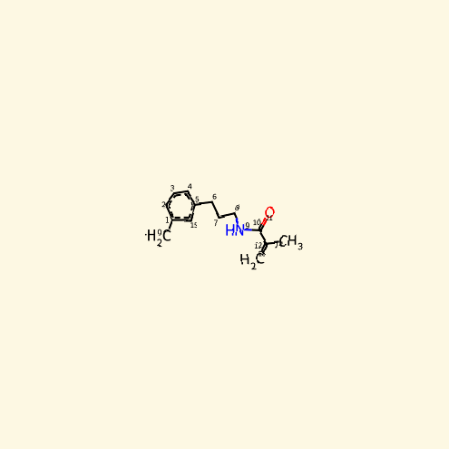 [CH2]c1cccc(CCCNC(=O)C(=C)C)c1